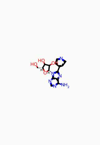 Nc1ncnc2c1nc(-c1ccncc1)n2[C@@H]1O[C@H](CO)C(O)C1O